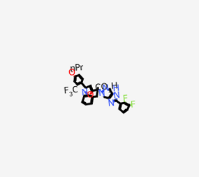 CCCOc1ccc(-c2cc(C(Cc3ccccc3)(C(=O)O)N3Cc4nc(-c5cccc(F)c5F)[nH]c4C=N3)on2)c(C(F)(F)F)c1